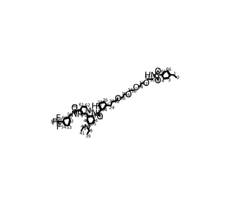 CCc1ccc(S(=O)(=O)NCCOCCOCCOCCOCCCc2cccc(C(=O)Nc3ccc(N(CC)CC)cc3-c3cc(C(=O)NCc4cccc(C(F)(F)F)c4)ccn3)c2)cc1